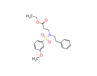 CCOC(=O)CCN(CCc1ccccc1)S(=O)(=O)c1cccc(OC)c1